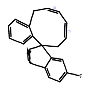 Fc1ccc2c(c1)C1(C/C=C\C=C/Cc3ccccc31)c1ccccc1-2